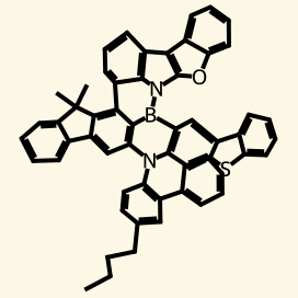 CCCCc1ccc(N2c3cc4sc5ccccc5c4cc3B3c4c2cc2c(c4-c4cccc5c6c7ccccc7oc6n3c45)C(C)(C)c3ccccc3-2)c(-c2ccccc2)c1